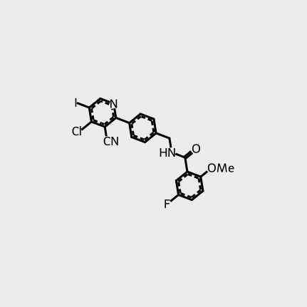 COc1ccc(F)cc1C(=O)NCc1ccc(-c2ncc(I)c(Cl)c2C#N)cc1